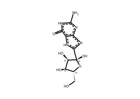 Nc1nc2nc([C@]3(O)O[C@H](CO)[C@@H](O)[C@H]3O)[nH]c2c(=O)[nH]1